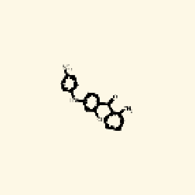 Cc1ccccc1C(=O)c1ccc(Nc2ccc([N+](=O)[O-])cc2)cc1Cl